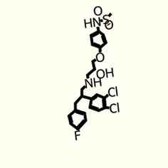 CS(=O)(=O)Nc1ccc(OC[C@@H](O)CNCC(Cc2ccc(F)cc2)c2ccc(Cl)c(Cl)c2)cc1